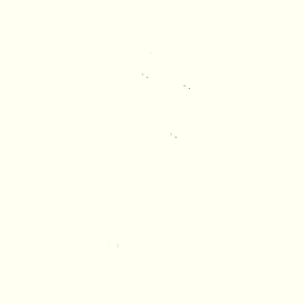 CCOc1ccc(-n2c(C(C)N(CCS(C)(=O)=O)C(=O)Cc3ccc(F)c(C(F)(F)F)c3)nc3c(c2=O)CCCC3)cc1